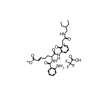 CCC(CC)CNC(=O)Cn1cccc(NC(=O)C(CCC=CC(=O)OC)NC(=O)c2ccccc2N)c1=O.O=C(O)C(F)(F)F